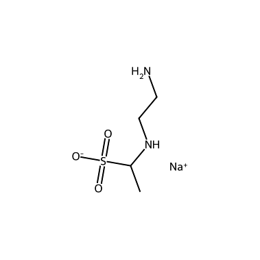 CC(NCCN)S(=O)(=O)[O-].[Na+]